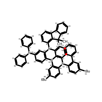 Cc1cc2c3c(c1)N(c1cccc4c1C(C)(C)c1ccccc1-4)c1cc(N(c4ccccc4)c4ccccc4)ccc1B3c1cc(C(C)(C)C)ccc1N2c1ccc(C(C)(C)C)cc1-c1ccccc1